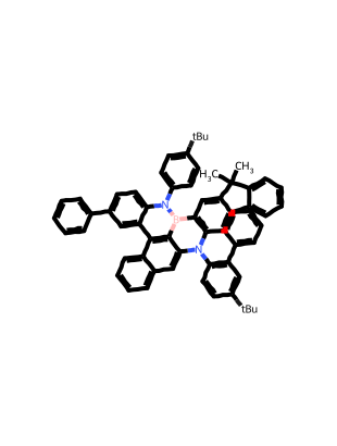 CC(C)(C)c1ccc(N2B3c4cc5c(cc4N(c4ccc(C(C)(C)C)cc4-c4ccccc4)c4cc6ccccc6c(c43)-c3cc(-c4ccccc4)ccc32)-c2ccccc2C5(C)C)cc1